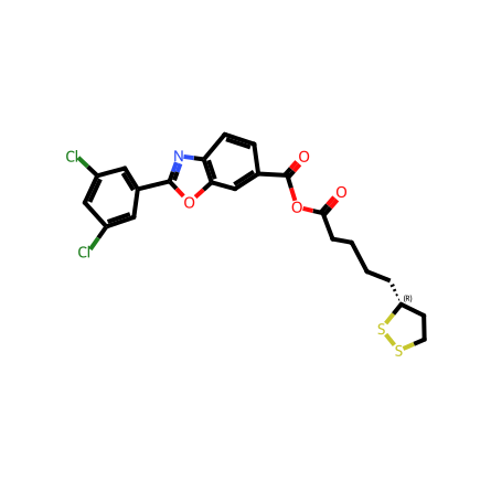 O=C(CCCC[C@@H]1CCSS1)OC(=O)c1ccc2nc(-c3cc(Cl)cc(Cl)c3)oc2c1